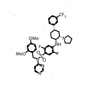 COc1ccc(CN(c2ccncn2)S(=O)(=O)c2cc(F)c(N[C@H]3CC[C@H](c4cccc(C(F)(F)F)c4)C[C@@H]3N3CCCC3)cc2F)c(OC)c1